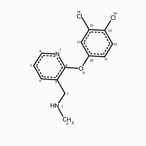 CNCc1cccnc1Oc1ccc(Cl)c(Cl)c1